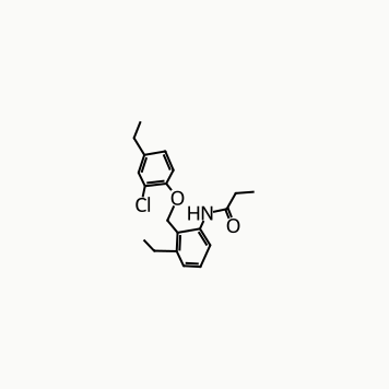 CCC(=O)Nc1cccc(CC)c1COc1ccc(CC)cc1Cl